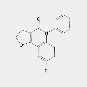 O=c1c2c(c3cc(Cl)ccc3n1-c1ccccc1)OCC2